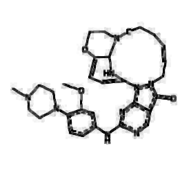 COc1cc(Nc2ncc3c(=O)n4n(c3n2)C2=CC=C3OCCN(CCC/C=C\C4)C3N2)ccc1N1CCN(C)CC1